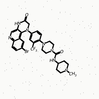 CN1CCC(NC(=O)N2CCN(c3ccc(N4CC(=O)Nc5cnc6ccc(Br)cc6c54)cc3C(F)(F)F)CC2)CC1